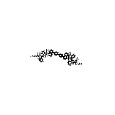 CNC(C)C(=O)NC(C(=O)N1CCC[C@H]1C(=O)N[C@@H]1CCCc2c(-c3ccc(-c4ccc(-c5cccc6c5CCC[C@H]6NC(=O)[C@@H]5CCCN5C(=O)C(NC(=O)C(C)NC)C5CCCCC5)cc4)cc3)cccc21)C1CCCCC1